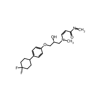 C=NC(=O)/C=C\N(C)C[C@H](O)COc1ccc(C2CCC(F)(F)CC2)cc1